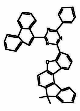 CC1(C)c2ccccc2-c2c1ccc1oc3c(-c4nc(-c5ccccc5)nc(-c5cc6ccccc6c6ccccc56)n4)cccc3c21